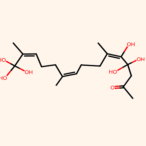 CC(=O)CC(O)(O)C(O)=C(C)CCC=C(C)CCC=C(C)C(O)(O)O